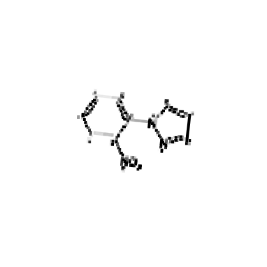 O=[N+]([O-])c1ccccc1-n1cccn1